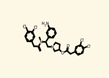 C=C(Cc1ccc(Cl)c(Cl)c1)N(C)C(CN1CCC(OC(=O)Cc2ccc(Cl)c(Cl)c2)C1)c1cccc(N)c1